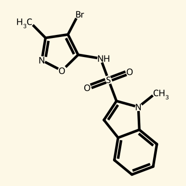 Cc1noc(NS(=O)(=O)c2cc3ccccc3n2C)c1Br